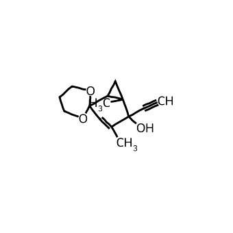 C#CC1(O)C(C)=CC2(OCCCO2)C2CC21C